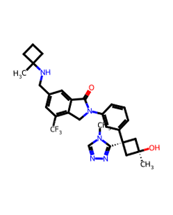 Cn1cnnc1[C@]1(c2cccc(N3Cc4c(cc(CNC5(C)CCC5)cc4C(F)(F)F)C3=O)c2)C[C@@](C)(O)C1